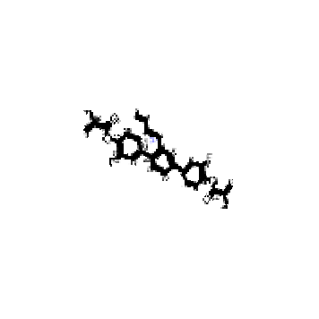 C=C/C=C/c1cc(-c2ccc(OC(=O)C(=C)C)c(F)c2)ccc1-c1ccc(OC(=O)C(=C)C)c(F)c1